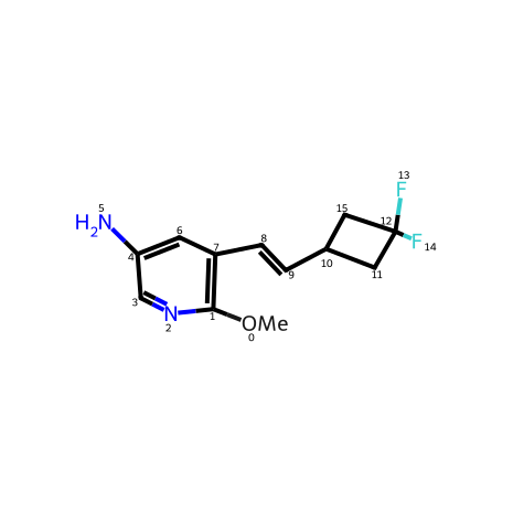 COc1ncc(N)cc1/C=C/C1CC(F)(F)C1